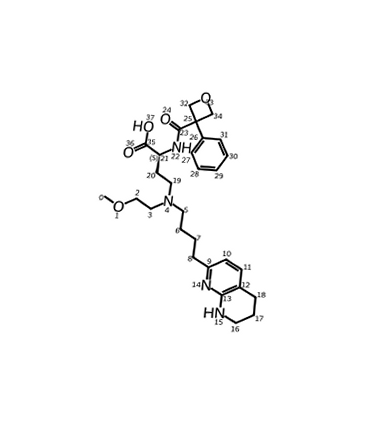 COCCN(CCCCc1ccc2c(n1)NCCC2)CC[C@H](NC(=O)C1(c2ccccc2)COC1)C(=O)O